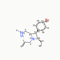 C=CCN1C(CNC)[C@@H](c2ccc(Br)cc2)[C@H]1CC